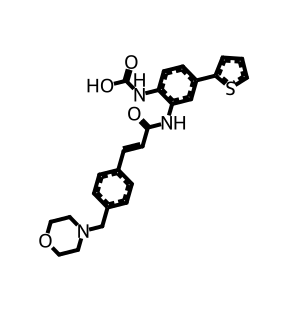 O=C(O)Nc1ccc(-c2cccs2)cc1NC(=O)C=Cc1ccc(CN2CCOCC2)cc1